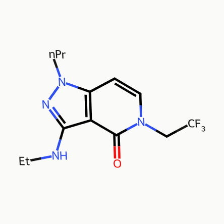 CCCn1nc(NCC)c2c(=O)n(CC(F)(F)F)ccc21